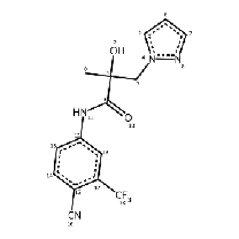 CC(O)(Cn1cccn1)C(=O)Nc1ccc(C#N)c(C(F)(F)F)c1